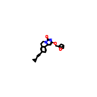 O=c1nc(OCC23CC(CO2)C3)cc2n1CCc1cc(C#CC3CC3)ccc1-2